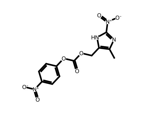 Cc1nc([N+](=O)[O-])[nH]c1COC(=O)Oc1ccc([N+](=O)[O-])cc1